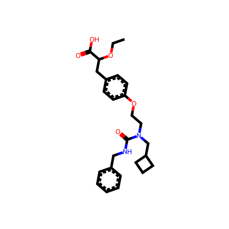 CCOC(Cc1ccc(OCCN(CC2CCC2)C(=O)NCc2ccccc2)cc1)C(=O)O